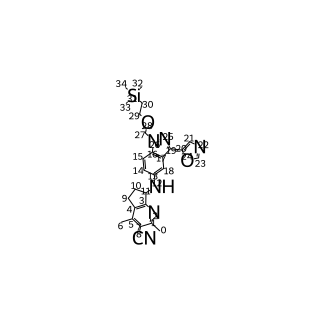 Cc1nc2c(c(C)c1C#N)CCC2Nc1ccc2c(c1)c(-c1cnco1)nn2COCC[Si](C)(C)C